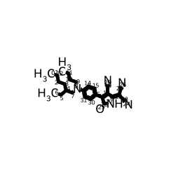 CCCCC(CC)CN(CCCC)c1ccc(C2=C(C#N)C(=C(C#N)C#N)NC2=O)cc1